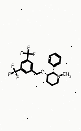 CN1CCC[C@H](OCc2cc(C(F)(F)F)cc(C(F)(F)F)c2)[C@@H]1c1ccccc1